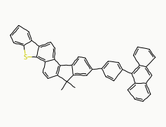 CC1(C)c2cc(-c3ccc(-c4c5ccccc5cc5ccccc45)cc3)ccc2-c2c1ccc1c2ccc2c3ccccc3sc12